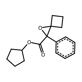 O=C(OC1CCCC1)C1(c2ccccc2)OC12CCC2